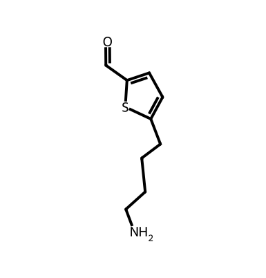 NCCCCc1ccc(C=O)s1